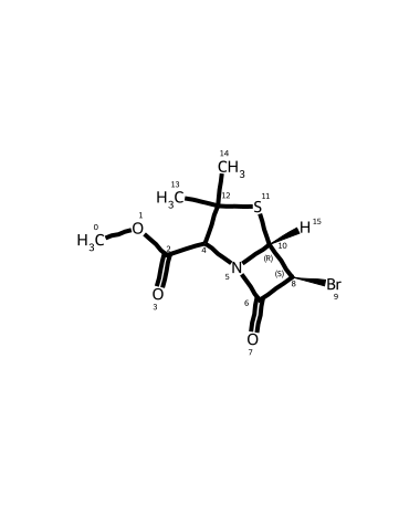 COC(=O)C1N2C(=O)[C@H](Br)[C@H]2SC1(C)C